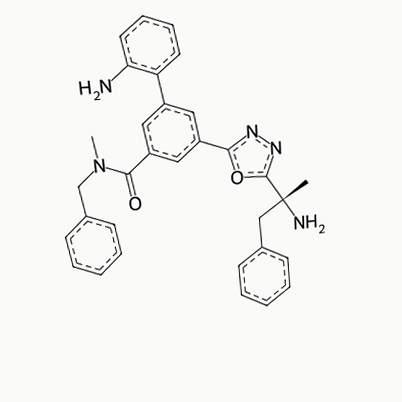 CN(Cc1ccccc1)C(=O)c1cc(-c2nnc([C@](C)(N)Cc3ccccc3)o2)cc(-c2ccccc2N)c1